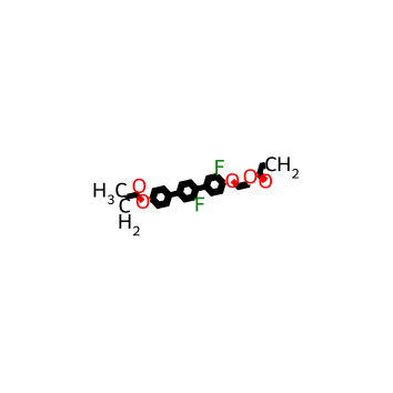 C=CC(=O)O/C=C\Oc1ccc(-c2ccc(-c3ccc(OC(=O)C(=C)C)cc3)cc2F)cc1F